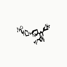 C=NCc1cnn2cc(-c3cnn(C)c3)cc(-c3ccc(N4CCN(CC(=O)N(C)C)CC4)nc3)c12